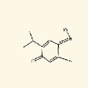 CC1=CC(=O)C(C(C)C)=CC1=NO